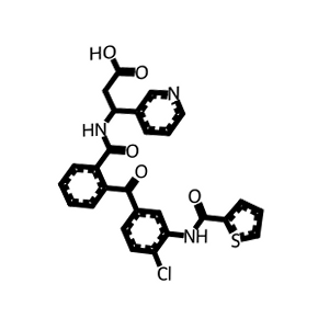 O=C(O)CC(NC(=O)c1ccccc1C(=O)c1ccc(Cl)c(NC(=O)c2cccs2)c1)c1cccnc1